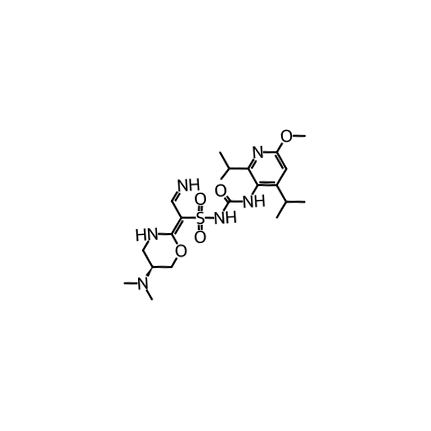 COc1cc(C(C)C)c(NC(=O)NS(=O)(=O)/C(C=N)=C2/NC[C@H](N(C)C)CO2)c(C(C)C)n1